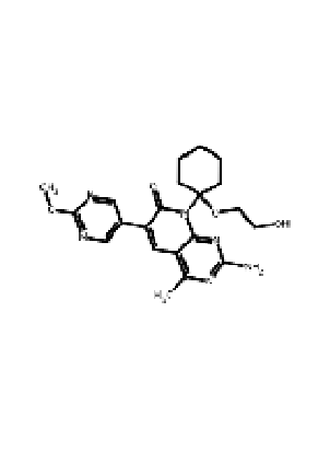 COc1ncc(-c2cc3c(C)nc(N)nc3n(C3(OCCO)CCCCC3)c2=O)cn1